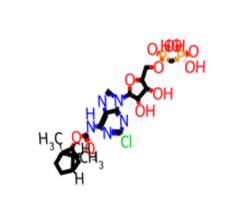 CC1(C)[C@@H]2CC[C@@]1(C)C(OC(=O)Nc1nc(Cl)nc3c1ncn3C1OC(COP(=O)(O)CP(=O)(O)O)C(O)C1O)C2